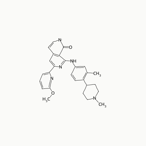 COc1cccc(-c2cc3c(c(Nc4ccc(C5CCN(C)CC5)c(C)c4)n2)C(=O)[N]C=C3)n1